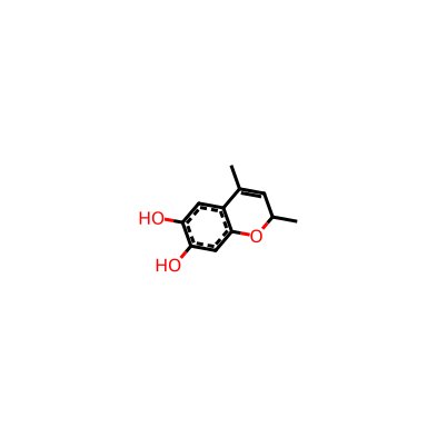 CC1=CC(C)Oc2cc(O)c(O)cc21